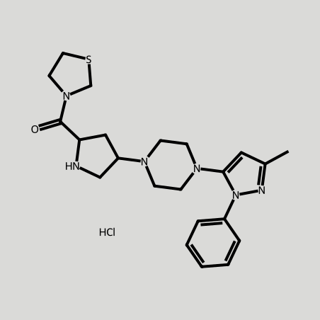 Cc1cc(N2CCN(C3CNC(C(=O)N4CCSC4)C3)CC2)n(-c2ccccc2)n1.Cl